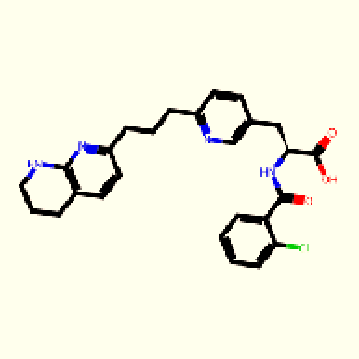 O=C(N[C@@H](Cc1ccc(CCCc2ccc3c(n2)NCCC3)nc1)C(=O)O)c1ccccc1Cl